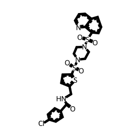 O=C(NCc1ccc(S(=O)(=O)N2CCN(S(=O)(=O)c3cccc4cccnc34)CC2)s1)c1ccc(Cl)cc1